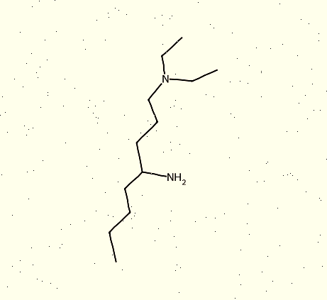 CCCCC(N)CCCN(CC)CC